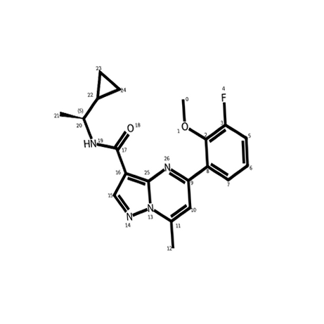 COc1c(F)cccc1-c1cc(C)n2ncc(C(=O)N[C@@H](C)C3CC3)c2n1